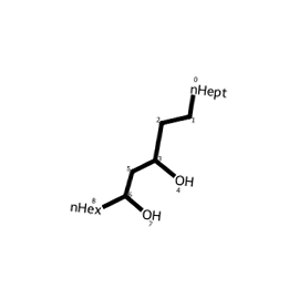 CCCCCCCCCC(O)CC(O)CCCCCC